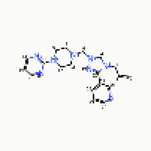 C=CCN1CN(CN2CCN(c3ncccn3)CC2)N=C1c1cccnc1